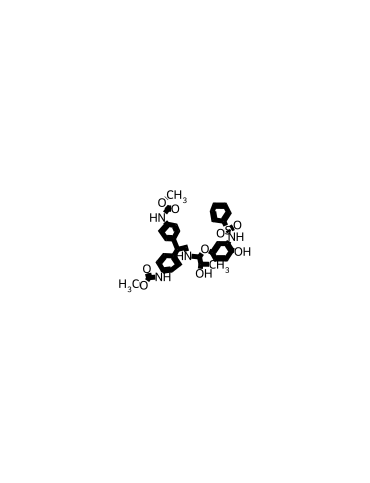 COC(=O)Nc1ccc(C(CNC(Oc2ccc(O)c(NS(=O)(=O)c3ccccc3)c2)C(C)O)c2ccc(NC(=O)OC)cc2)cc1